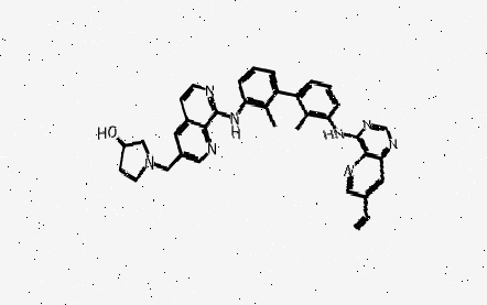 C=Cc1cnc2c(Nc3cccc(-c4cccc(Nc5nccc6cc(CN7CCC(O)C7)cnc56)c4C)c3C)ncnc2c1